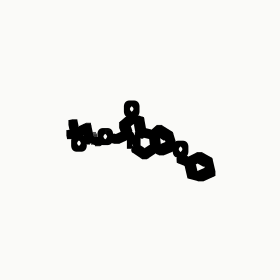 CC1(C)C[C@@H](COCc2cc(=O)cc3n2CCc2cc(OCc4ccccc4)ccc2-3)O1